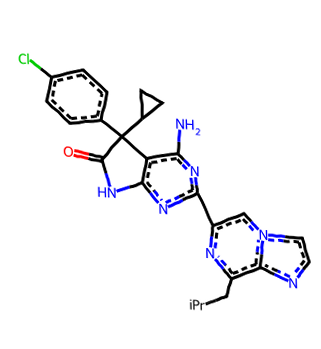 CC(C)Cc1nc(-c2nc(N)c3c(n2)NC(=O)C3(c2ccc(Cl)cc2)C2CC2)cn2ccnc12